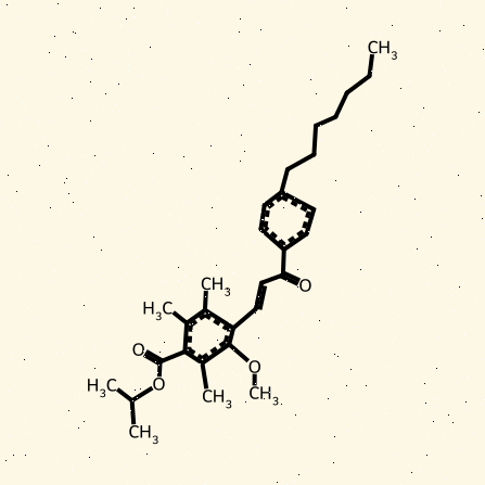 CCCCCCCc1ccc(C(=O)C=Cc2c(C)c(C)c(C(=O)OC(C)C)c(C)c2OC)cc1